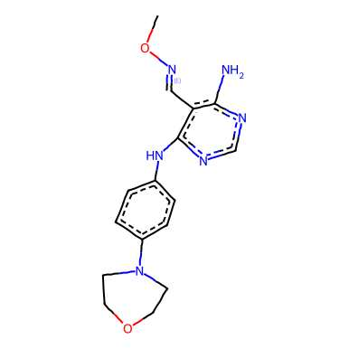 CO/N=C/c1c(N)ncnc1Nc1ccc(N2CCOCC2)cc1